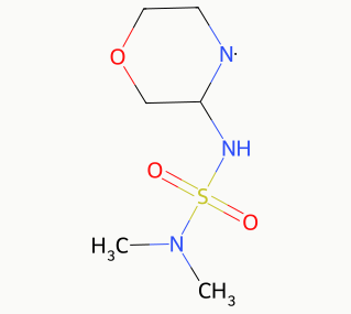 CN(C)S(=O)(=O)NC1COCC[N]1